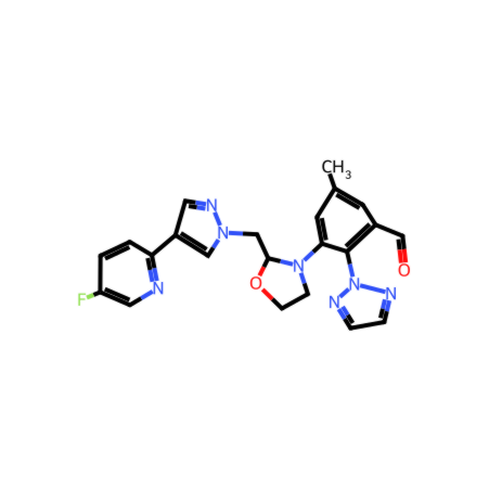 Cc1cc(C=O)c(-n2nccn2)c(N2CCOC2Cn2cc(-c3ccc(F)cn3)cn2)c1